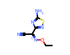 CCO/N=C(/C#N)c1nsc(N)n1